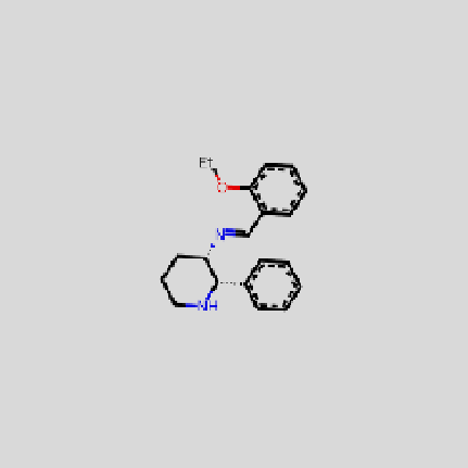 CCOc1ccccc1C=N[C@H]1CCCN[C@H]1c1ccccc1